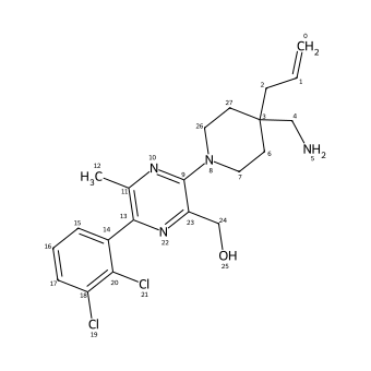 C=CCC1(CN)CCN(c2nc(C)c(-c3cccc(Cl)c3Cl)nc2CO)CC1